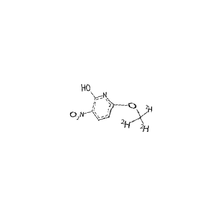 [2H]C([2H])([2H])Oc1ccc([N+](=O)[O-])c(O)n1